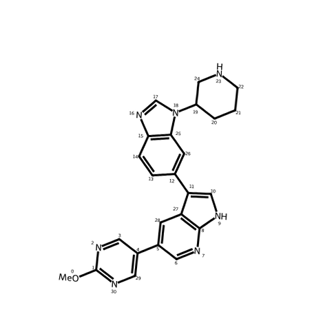 COc1ncc(-c2cnc3[nH]cc(-c4ccc5ncn(C6CCCNC6)c5c4)c3c2)cn1